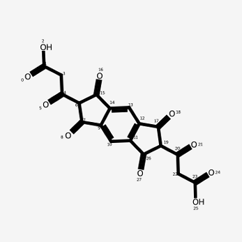 O=C(O)CC(=O)C1C(=O)c2cc3c(cc2C1=O)C(=O)C(C(=O)CC(=O)O)C3=O